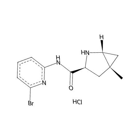 C[C@@]12C[C@@H](C(=O)Nc3cccc(Br)n3)N[C@@H]1C2.Cl